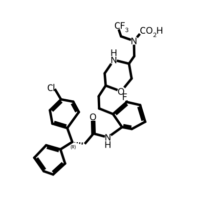 O=C(C[C@H](c1ccccc1)c1ccc(Cl)cc1)Nc1cccc(F)c1CCC1CNC(CN(CC(F)(F)F)C(=O)O)CO1